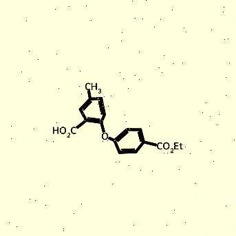 CCOC(=O)c1ccc(Oc2ccc(C)cc2C(=O)O)cc1